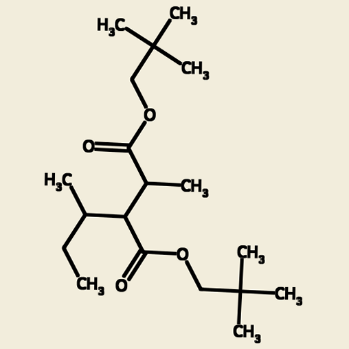 CCC(C)C(C(=O)OCC(C)(C)C)C(C)C(=O)OCC(C)(C)C